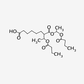 CCCC(=O)OC(C)OC(=O)C(CCCCCC(=O)O)C(C)OC(=O)CCC